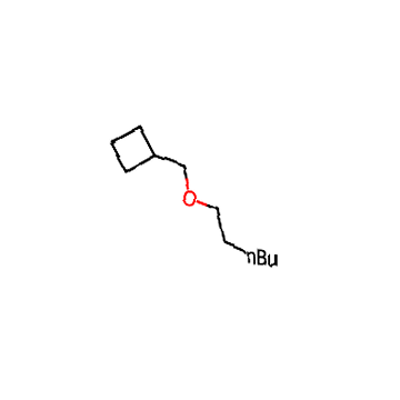 CCCCCCOCC1CCC1